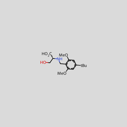 COc1cc(C(C)(C)C)cc(OC)c1CN[C@@H](CO)C(=O)O